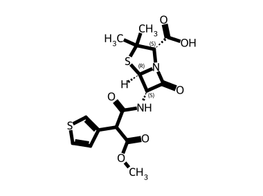 COC(=O)C(C(=O)N[C@H]1C(=O)N2[C@@H]1SC(C)(C)[C@@H]2C(=O)O)c1ccsc1